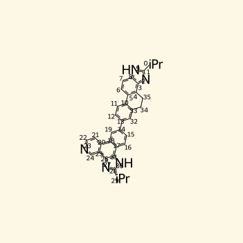 CC(C)c1nc2c3c(ccc2[nH]1)-c1ccc(-c2ccc4c(c2)c2ccncc2c2nc(C(C)C)[nH]c42)cc1CC3